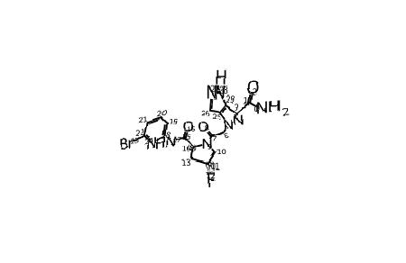 NC(=O)c1nn(CC(=O)N2C[C@H](F)C[C@H]2C(=O)Nc2cccc(Br)n2)c2cn[nH]c12